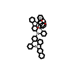 c1ccc(C2(c3ccccc3)c3ccccc3-c3ccc(N(c4ccc(-c5ccccc5-n5c6ccccc6c6cc7ccccc7cc65)cc4)c4ccccc4[C@]45CC6C[C@H]7CC(C4)[C@H]7C65)cc32)cc1